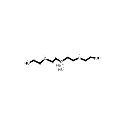 Br.Br.OCCOCCOCCOCCO